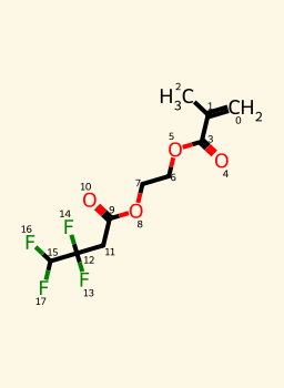 C=C(C)C(=O)OCCOC(=O)CC(F)(F)C(F)F